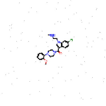 CNCCn1cc(C(=O)N2CCN(c3ccccc3OC)CC2)c2ccc(Cl)cc21